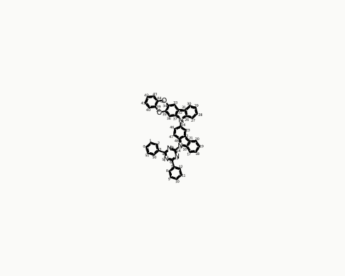 c1ccc(-c2nc(-c3ccccc3)nc(-n3c4ccccc4c4cc(-n5c6ccccc6c6cc7c(cc65)Oc5ccccc5O7)ccc43)n2)cc1